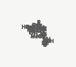 COc1nc(-c2cccc(-c3cc(F)cc(NC(=O)c4cc(O)nn(C)c4=O)c3Cl)c2Cl)ccc1CNC1CCOCC1O